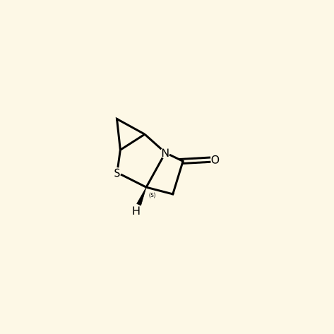 O=C1C[C@@H]2SC3CC3N12